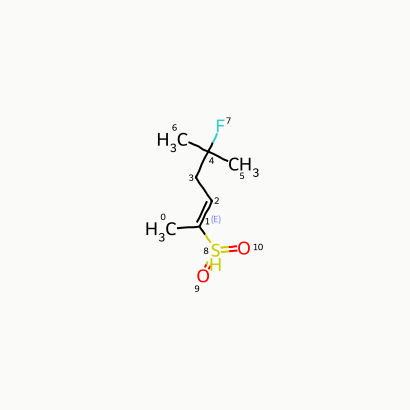 C/C(=C\CC(C)(C)F)[SH](=O)=O